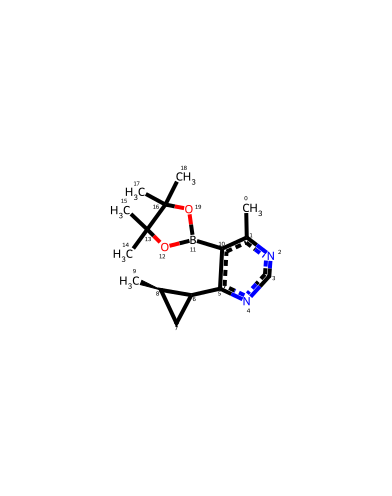 Cc1ncnc(C2C[C@H]2C)c1B1OC(C)(C)C(C)(C)O1